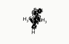 CC#CCn1c(N2CCNCC2)nc2c1c(=O)n(CCN(C(=O)C(F)(F)F)c1ccccc1)c(=O)n2C